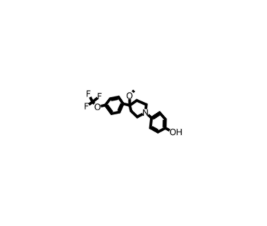 COC1(c2ccc(OC(F)(F)F)cc2)CCN(c2ccc(O)cc2)CC1